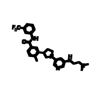 Cc1ccc(C(=O)Nc2cccc(C(F)(F)F)c2)cc1C1CCN(c2cncc(NCCN(C)C)c2)C1